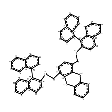 c1ccc2c(c1)Sc1c(COc3ccc4ccccc4c3-c3cccc4ccccc34)ccc(COc3ccc4ccccc4c3-c3cccc4ccccc34)c1S2